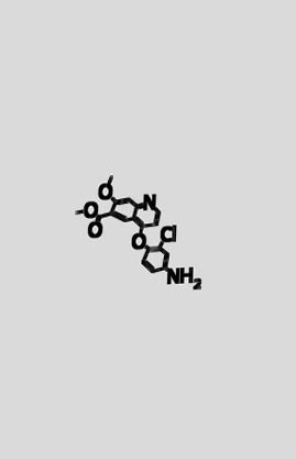 COC(=O)c1cc2c(Oc3ccc(N)cc3Cl)ccnc2cc1OC